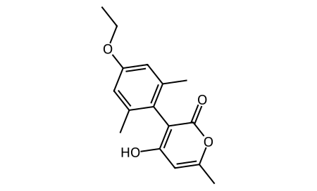 CCOc1cc(C)c(-c2c(O)cc(C)oc2=O)c(C)c1